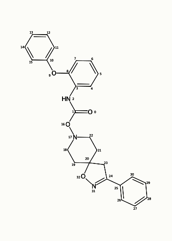 O=C(Nc1ccccc1Oc1ccccc1)ON1CCC2(CC1)CC(c1ccccc1)=NO2